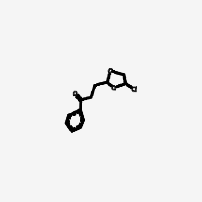 O=C(CCC1OCC(Cl)O1)c1ccccc1